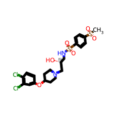 CS(=O)(=O)c1ccc(S(=O)(=O)NC[C@@H](O)CN2CCC(Oc3ccc(Cl)c(Cl)c3)CC2)cc1